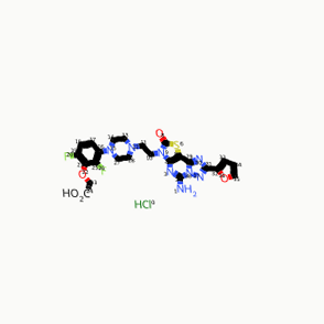 Cl.Nc1nc2c(sc(=O)n2CCN2CCN(c3ccc(F)c(OCC(=O)O)c3F)CC2)c2nc(-c3ccco3)nn12